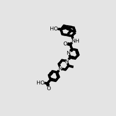 CC1CN(c2ccc(C(=O)O)cc2)CCN1c1cccc(C(=O)NC2C3CC4CC2CC(O)(C4)C3)n1